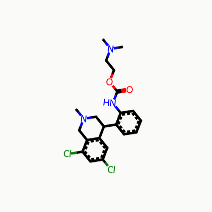 CN(C)CCOC(=O)Nc1ccccc1C1CN(C)Cc2c(Cl)cc(Cl)cc21